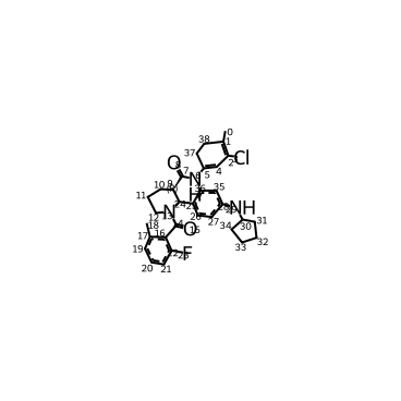 CC1=C(Cl)C=C(NC(=O)[C@@H]2CCCN(C(=O)c3c(C)cccc3F)C2c2ccc(NC3CCCC3)cc2)CC1